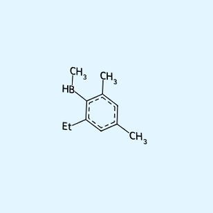 CBc1c(C)cc(C)cc1CC